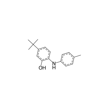 Cc1ccc(Nc2ccc(C(C)(C)C)cc2O)cc1